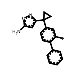 Nc1cc(C2(c3ccc(-c4ccccc4)c(F)c3)CC2)no1